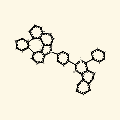 c1ccc(-c2nc(-c3ccc(-n4c5cccc6c5c5c7c(cccc7ccc54)-c4ccccc4-6)cc3)nc3c2ccc2ccccc23)cc1